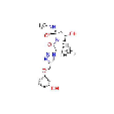 CNC(=O)[C@H]1CC(O)CN1C(=O)C(n1cc(COc2cccc(O)c2)nn1)C(C)(C)C